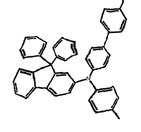 Cc1ccc(N(c2ccc(-c3ccc(Br)cc3)cc2)c2ccc3c(c2)C(c2ccccc2)(c2ccccc2)c2ccccc2-3)cc1